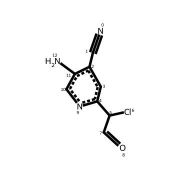 N#Cc1cc(C(Cl)C=O)ncc1N